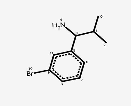 CC(C)C(N)c1cccc(Br)c1